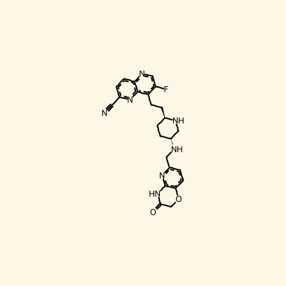 N#Cc1ccc2ncc(F)c(CC[C@@H]3CC[C@@H](NCc4ccc5c(n4)NC(=O)CO5)CN3)c2n1